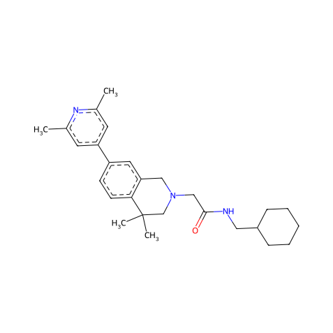 Cc1cc(-c2ccc3c(c2)CN(CC(=O)NCC2CCCCC2)CC3(C)C)cc(C)n1